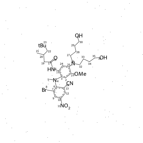 COc1cc(N(C)c2c(Br)cc([N+](=O)[O-])cc2C#N)c(NC(=O)CC(C)CC(C)(C)C)cc1N(CCCCO)CCCCO